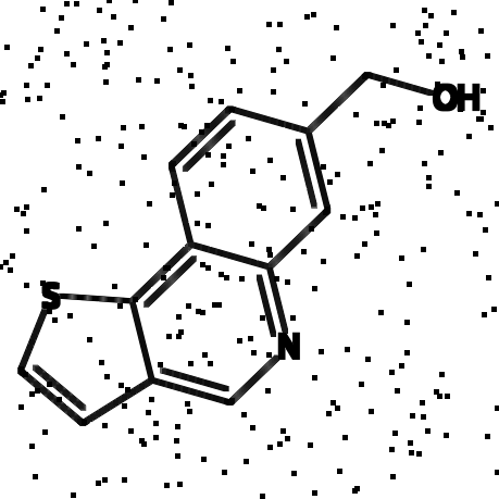 OCc1ccc2c(c1)ncc1ccsc12